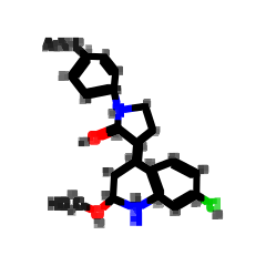 CC(=O)Nc1ccc(N2CCC(=C3CC(OC(=O)O)Nc4cc(Cl)ccc43)C2=O)cc1